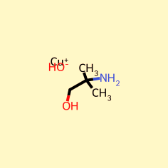 CC(C)(N)CO.[Cu+].[OH-]